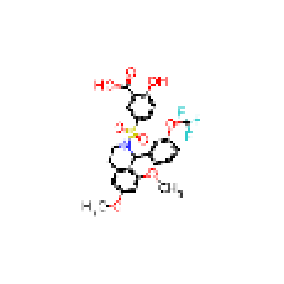 COc1cc2c(c(OC)c1)C(c1cccc(OC(F)(F)F)c1)N(S(=O)(=O)c1ccc(O)c(C(=O)O)c1)CC2